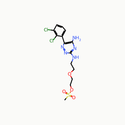 CS(=O)(=O)OCCOCCNc1nnc(-c2cccc(Cl)c2Cl)c(N)n1